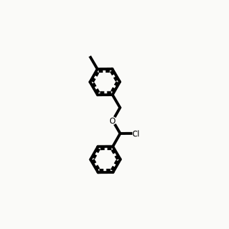 Cc1ccc(COC(Cl)c2ccccc2)cc1